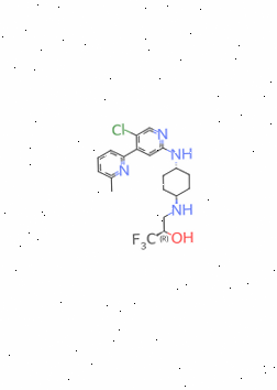 Cc1cccc(-c2cc(N[C@H]3CC[C@H](NC[C@@H](O)C(F)(F)F)CC3)ncc2Cl)n1